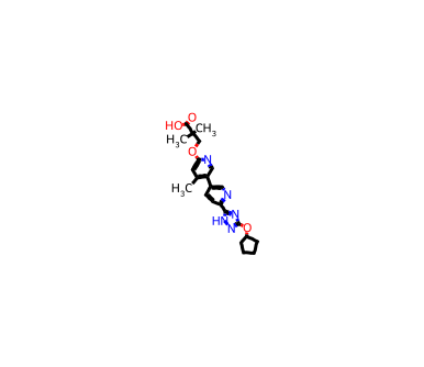 Cc1cc(OCC(C)(C)C(=O)O)ncc1-c1ccc(-c2nc(OC3CCCC3)n[nH]2)nc1